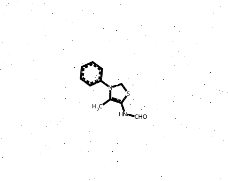 CC1=C(NC=O)SCN1c1ccccc1